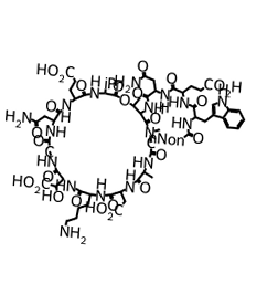 CCCCCCCCCC(=O)NC(Cc1c[nH]c2ccccc12)C(=O)NC(CCC(=O)O)C(=O)NC(CC(N)=O)C(=O)NC1C(=O)N(C)CC(=O)NC(C)C(=O)NC(CC(=O)O)C(=O)NC(CCCCN)C(=O)NC(C(O)C(=O)O)C(=O)NCC(=O)NC(CC(N)=O)C(=O)NC(CCC(=O)O)C(=O)NC(C(C)C)C(=O)OC1C